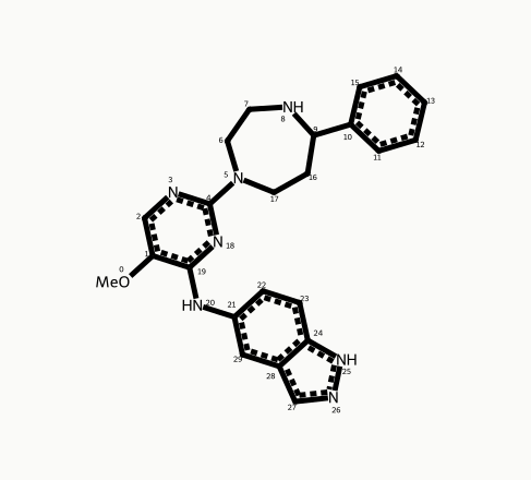 COc1cnc(N2CCNC(c3ccccc3)CC2)nc1Nc1ccc2[nH]ncc2c1